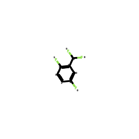 Fc1[c]cc(F)c(C(F)F)c1